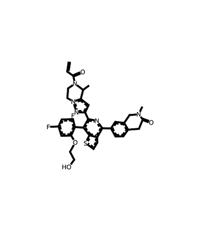 C=CC(=O)N1CCn2nc(-c3nc(-c4ccc5c(c4)CN(C)C(=O)C5)c4ccsc4c3-c3c(F)cc(F)cc3OCCO)cc2C1C